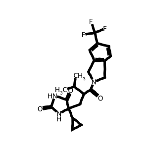 CC(C)C(CC1(C2CC2)NC(=O)NC1=O)C(=O)N1Cc2ccc(C(F)(F)F)cc2C1